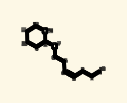 ICC/C=C\CCOC1CCCCO1